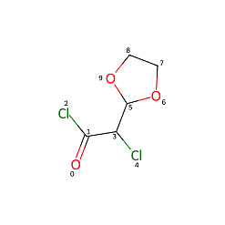 O=C(Cl)C(Cl)C1OCCO1